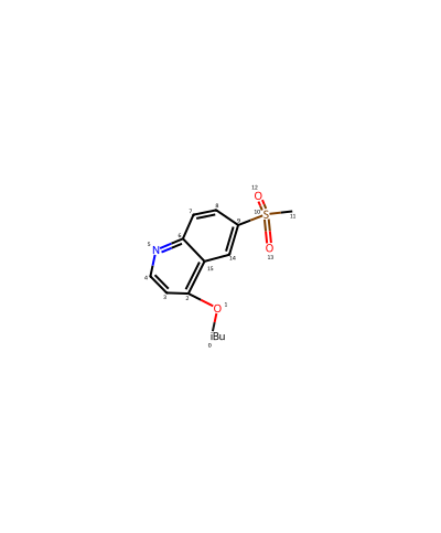 CCC(C)Oc1ccnc2ccc(S(C)(=O)=O)cc12